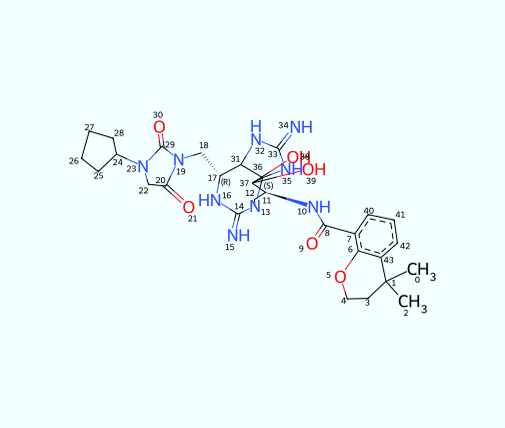 CC1(C)CCOc2c(C(=O)N[C@H]3CN4C(=N)N[C@H](CN5C(=O)CN(C6CCCC6)C5=O)C5NC(=N)NC54C3(O)O)cccc21